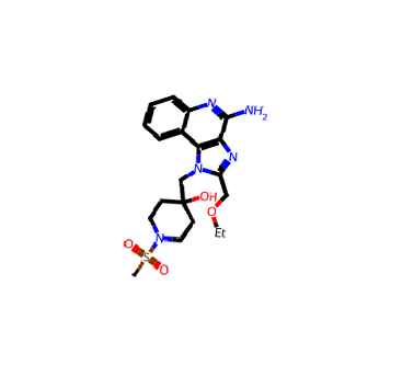 CCOCc1nc2c(N)nc3ccccc3c2n1CC1(O)CCN(S(C)(=O)=O)CC1